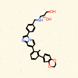 Cc1c(-c2ccc3c(c2)OCCO3)cccc1-c1ccn2c(-c3ccc(CNC[C@@H](O)CO)cc3)cnc2c1